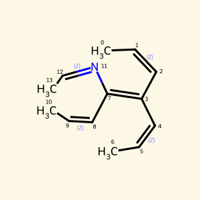 C/C=C\C(/C=C\C)=C(/C=C\C)/N=C\C